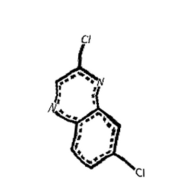 Clc1ccc2ncc(Cl)nc2c1